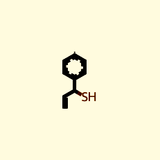 C=CC(S)c1cc[c]cc1